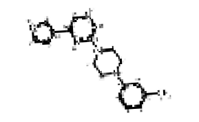 FC(F)(F)c1cccc(N2CCN(c3cncc(-c4ccoc4)n3)CC2)c1